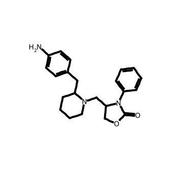 Nc1ccc(CC2CCCCN2CC2COC(=O)N2c2ccccc2)cc1